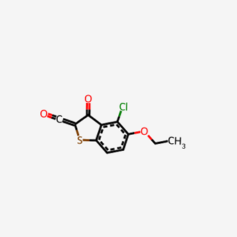 CCOc1ccc2c(c1Cl)C(=O)C(=C=O)S2